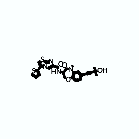 CN1C(=O)C(NC(=O)c2cn3c(-c4cccs4)csc3n2)COc2ccc(C#CC(C)(C)O)cc21